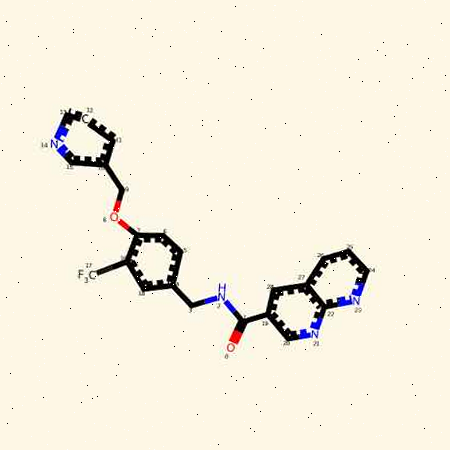 O=C(NCc1ccc(OCc2cccnc2)c(C(F)(F)F)c1)c1cnc2ncccc2c1